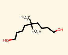 O=C(O)C(CCCCO)(CCCCO)C(=O)O